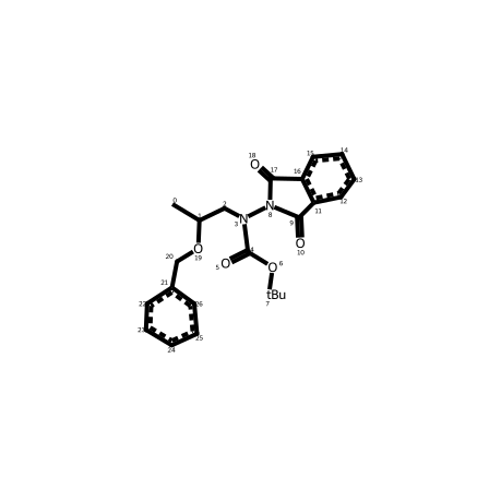 CC(CN(C(=O)OC(C)(C)C)N1C(=O)c2ccccc2C1=O)OCc1ccccc1